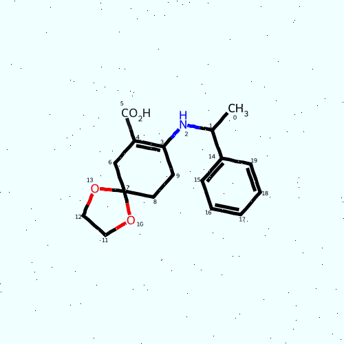 CC(NC1=C(C(=O)O)CC2(CC1)OCCO2)c1ccccc1